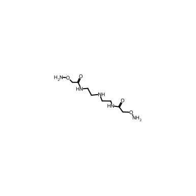 NOCC(=O)NCCNCCNC(=O)CON